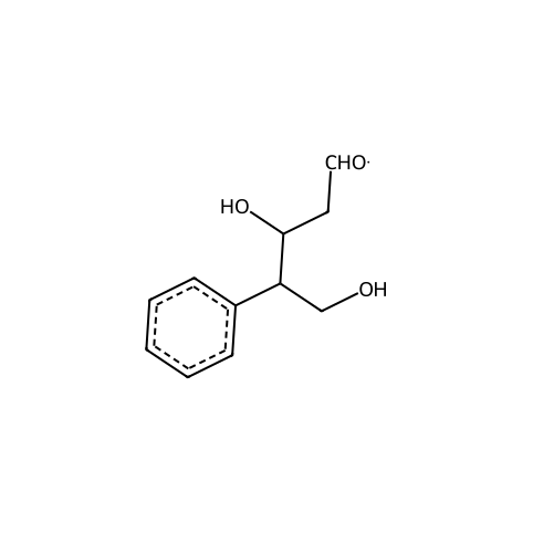 O=[C]CC(O)C(CO)c1ccccc1